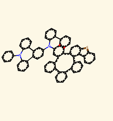 c1ccc(-c2ccccc2N(c2ccc3c(c2)-c2ccccc2N(c2ccccc2)c2ccccc2-3)c2ccc3c(c2)c2ccccc2c2ccccc2c2ccccc2c2c3ccc3sc4ccccc4c32)cc1